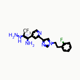 NN/C(=C(\N)c1ccnc(-c2cn(CCc3ccccc3F)cn2)c1)C(F)(F)F